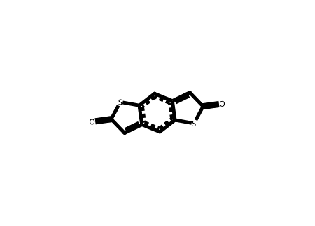 O=C1C=c2cc3c(cc2S1)=CC(=O)S3